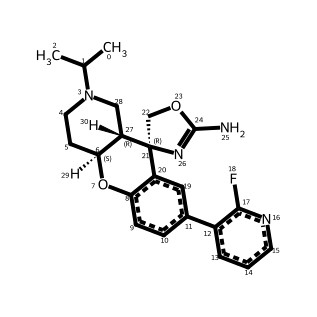 CC(C)N1CC[C@@H]2Oc3ccc(-c4cccnc4F)cc3[C@@]3(COC(N)=N3)[C@H]2C1